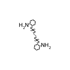 Nc1ccccc1SSCCSSc1ccccc1N